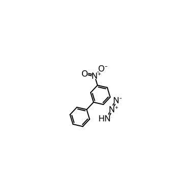 O=[N+]([O-])c1cccc(-c2ccccc2)c1.[N-]=[N+]=N